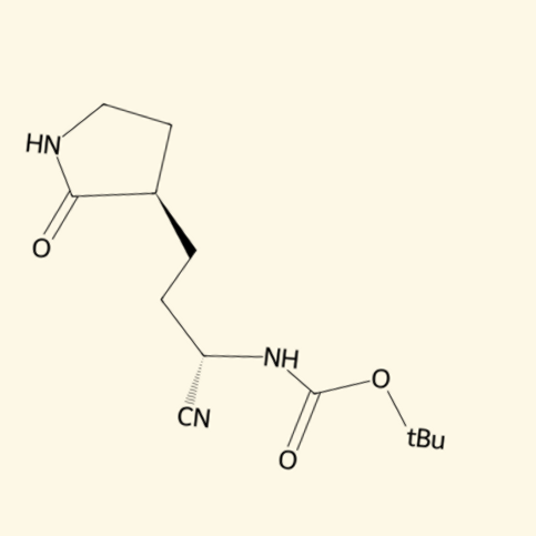 CC(C)(C)OC(=O)N[C@H](C#N)CC[C@@H]1CCNC1=O